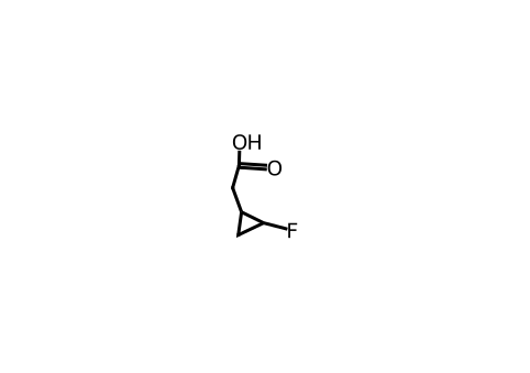 O=C(O)CC1CC1F